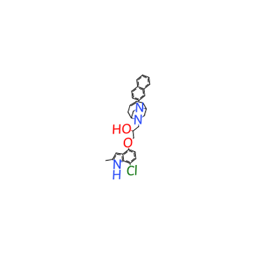 Cc1cc2c(OCC(O)CN3CC4CC=CCC3CN4c3ccc4ccccc4c3)ccc(Cl)c2[nH]1